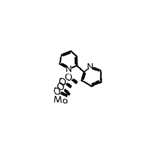 C=O.C=O.C=O.C=O.[Mo].c1ccc(-c2ccccn2)nc1